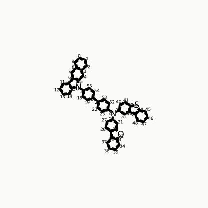 c1ccc2cc3c(cc2c1)c1ccccc1n3-c1ccc(-c2ccc(N(c3ccc4c(c3)oc3ccccc34)c3ccc4sc5ccccc5c4c3)cc2)cc1